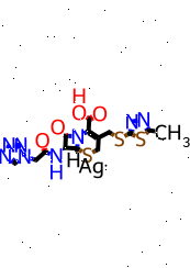 Cc1nnc(SCC2=C(C(=O)O)N3C(=O)[C@@H](NC(=O)Cn4cnnn4)[C@H]3SC2)s1.[Ag]